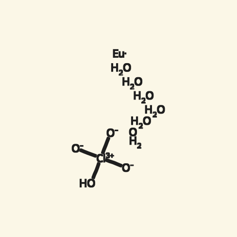 O.O.O.O.O.O.[Eu].[O-][Cl+3]([O-])([O-])O